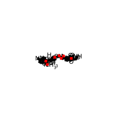 CC1(C)C(NC(=O)c2ccc(OCCN3CCN(c4ccc5c(c4)C(=O)N(C4CCC(=O)NC4=O)C5=O)CC3)cc2)C2(C)c3ccnc4c(C#N)ccc(c34)O[C@@H]12